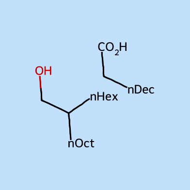 CCCCCCCCC(CO)CCCCCC.CCCCCCCCCCCC(=O)O